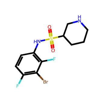 O=S(=O)(Nc1ccc(F)c(Br)c1F)C1CCCNC1